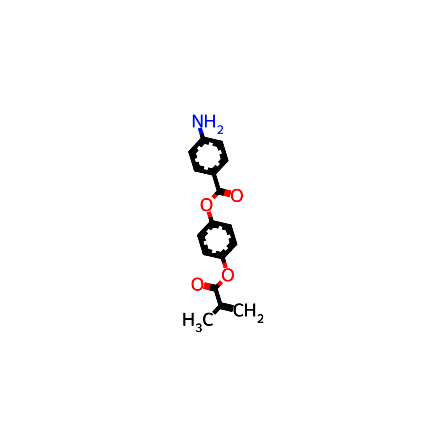 C=C(C)C(=O)Oc1ccc(OC(=O)c2ccc(N)cc2)cc1